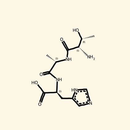 C[C@H](NC(=O)[C@@H](N)[C@@H](C)O)C(=O)N[C@@H](Cc1cnc[nH]1)C(=O)O